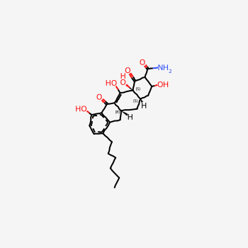 CCCCCCc1ccc(O)c2c1C[C@H]1C[C@H]3CC(O)C(C(N)=O)C(=O)[C@@]3(O)C(O)=C1C2=O